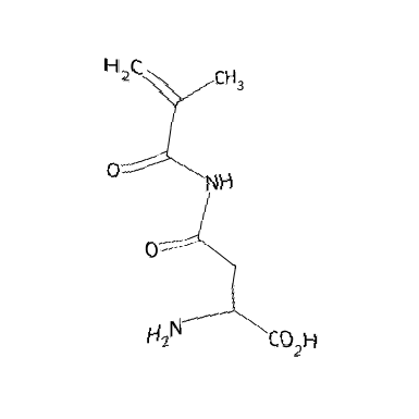 C=C(C)C(=O)NC(=O)CC(N)C(=O)O